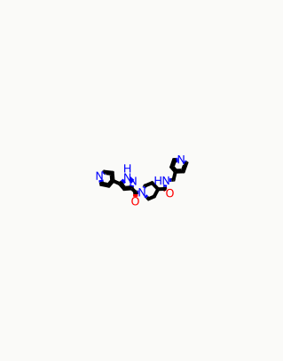 O=C(NCc1ccncc1)C1CCN(C(=O)c2cc(-c3ccncc3)[nH]n2)CC1